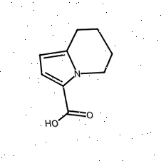 O=C(O)c1ccc2n1CCCC2